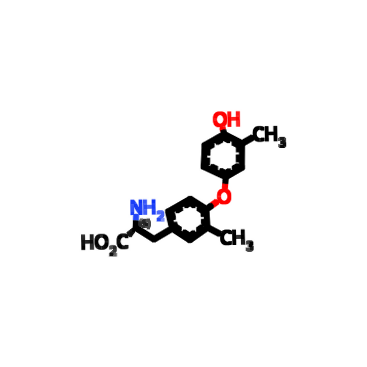 Cc1cc(Oc2ccc(C[C@H](N)C(=O)O)cc2C)ccc1O